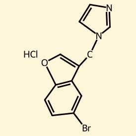 Brc1ccc2occ(Cn3ccnc3)c2c1.Cl